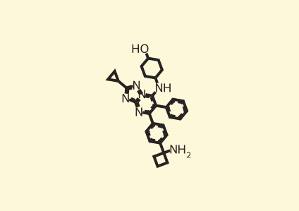 NC1(c2ccc(-c3nc4nc(C5CC5)nn4c(NC4CCC(O)CC4)c3-c3ccccc3)cc2)CCC1